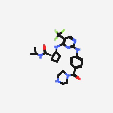 CC(C)NC(=O)[C@H]1CCC[C@H]1Nc1nc(Nc2ccc(C(=O)N3CCNCC3)cc2)ncc1C(F)(F)F